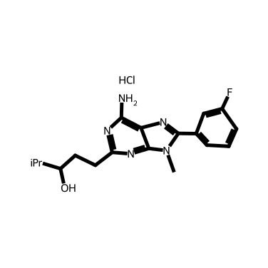 CC(C)C(O)CCc1nc(N)c2nc(-c3cccc(F)c3)n(C)c2n1.Cl